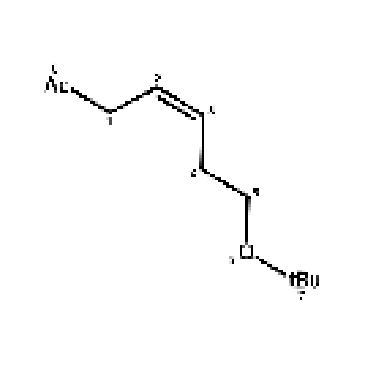 CC(=O)C/C=C\CCOC(C)(C)C